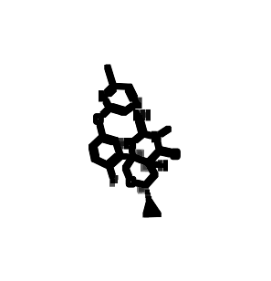 Cc1cncc(Oc2ccc(F)c([C@]34CO[C@@H](C5CC5)C[C@H]3C(=O)N(C)C(=N)N4)c2)n1